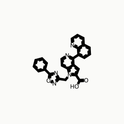 O=C(O)c1cc2c(-c3cccc4cccnc34)nccc2n1Cc1noc(-c2ccccc2)n1